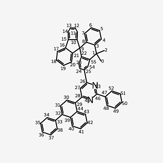 CC1(C)c2ccccc2C2(c3ccccc3-c3ccccc32)c2ccc(-c3cc(-c4ccc(-c5ccccc5)c5ccccc45)nc(-c4ccccc4)n3)cc21